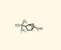 C[Si](C)(C)C1CC2CC1CC2C=O